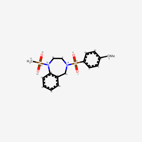 COc1ccc(S(=O)(=O)N2CCN(S(C)(=O)=O)c3ccccc3C2)cc1